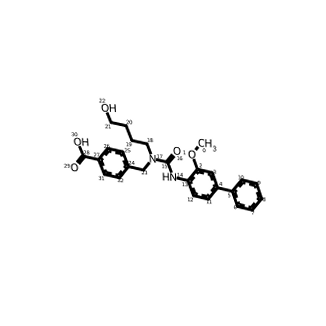 COc1cc(-c2ccccc2)ccc1NC(=O)N(CCCCO)Cc1ccc(C(=O)O)cc1